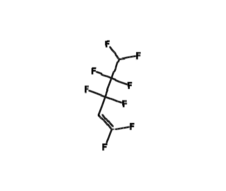 FC(F)=CC(F)(F)C(F)(F)C(F)F